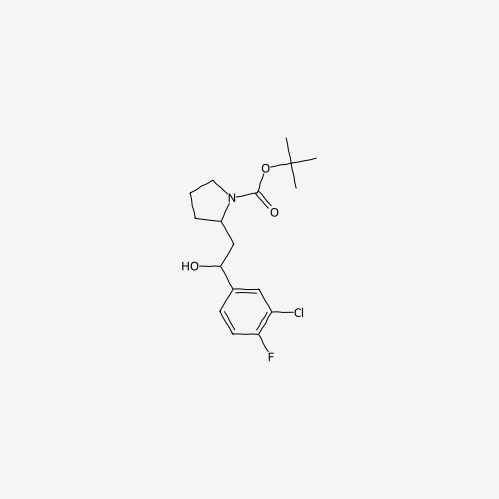 CC(C)(C)OC(=O)N1CCCC1CC(O)c1ccc(F)c(Cl)c1